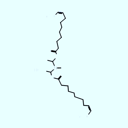 CCCCCCCC/C=C\CCCCCCCC(=O)OC(C)N(C)C(C)OC(=O)CCCCCCC/C=C\CCCCCCCC.Cl